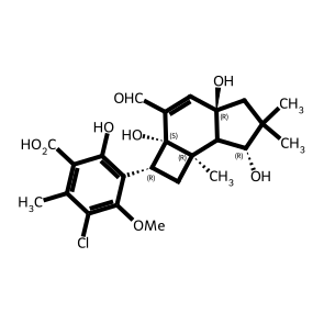 COc1c(Cl)c(C)c(C(=O)O)c(O)c1[C@H]1C[C@]2(C)C3[C@@H](O)C(C)(C)C[C@@]3(O)C=C(C=O)[C@]12O